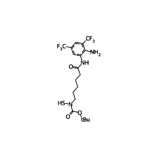 CC(C)(C)OC(=O)N(S)CCCCCC(=O)Nc1cc(C(F)(F)F)cc(C(F)(F)F)c1N